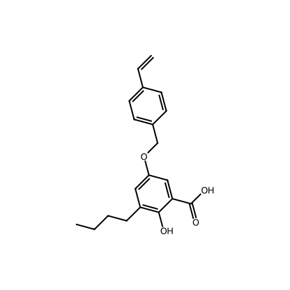 C=Cc1ccc(COc2cc(CCCC)c(O)c(C(=O)O)c2)cc1